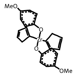 COc1ccc([O][Zr]([O]c2ccc(OC)cc2)([C]2=CC=CC2)[C]2=CC=CC2)cc1